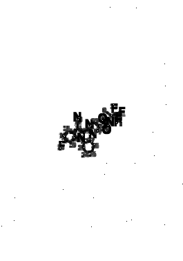 C[C@H](NS(=O)(=O)c1cnc(-c2c(C#N)c3ccc(F)cc3n2C2CCCCC2)nc1)C(F)(F)F